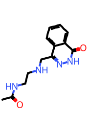 CC(=O)NCCNCc1n[nH]c(=O)c2ccccc12